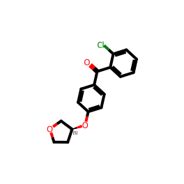 O=C(c1ccc(O[C@H]2CCOC2)cc1)c1ccccc1Cl